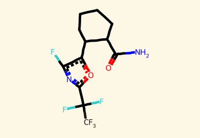 NC(=O)C1CCCCC1c1oc(C(F)(F)C(F)(F)F)nc1F